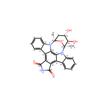 C[C@]12O[C@H](C[C@H](O)[C@H]1O)n1c3ccccc3c3c4c(c5c6ccccc6n2c5c31)C(=O)NC4=O